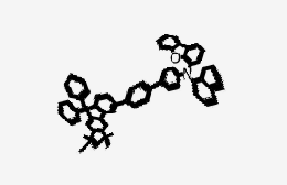 CC1(C)CC(C)(C)c2cc3c(cc21)-c1cc(-c2ccc(-c4ccc(N(c5cccc6ccccc56)c5cccc6c5oc5ccccc56)cc4)cc2)ccc1C3(c1ccccc1)c1ccccc1